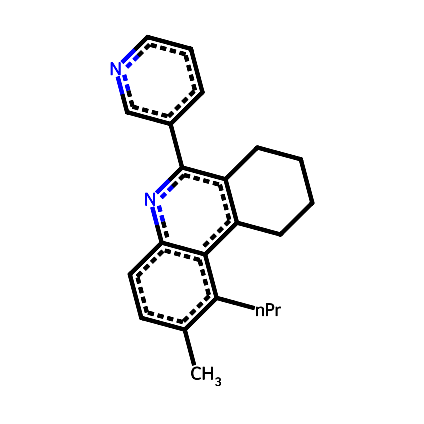 CCCc1c(C)ccc2nc(-c3cccnc3)c3c(c12)CCCC3